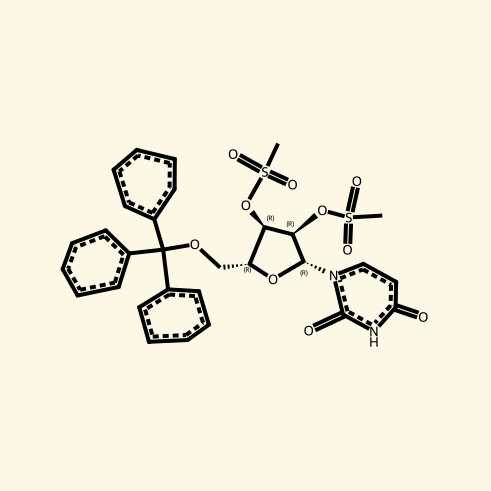 CS(=O)(=O)O[C@@H]1[C@H](OS(C)(=O)=O)[C@@H](COC(c2ccccc2)(c2ccccc2)c2ccccc2)O[C@H]1n1ccc(=O)[nH]c1=O